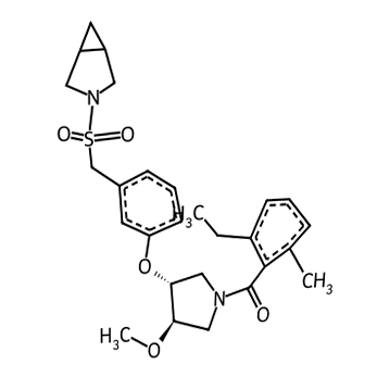 CCc1cccc(C)c1C(=O)N1C[C@@H](OC)[C@H](Oc2cccc(CS(=O)(=O)N3CC4CC4C3)c2)C1